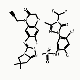 C#CCN1C(=O)COc2cc(F)c(/N=c3\snc4n3CC(C)(C)C4)cc21.Cc1nn(-c2cc(NS(C)(=O)=O)c(Cl)cc2Cl)c(=O)n1C(F)F